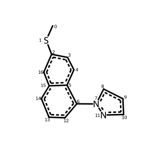 CSc1ccc2c(-n3cccn3)cccc2c1